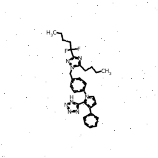 CCCCc1nc(C(F)(F)CCCC)nn1Cc1ccc(-n2ccc(-c3ccccc3)c2-c2nnn[nH]2)cc1